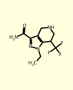 CCn1nc(C(N)=O)c2c1C(C(F)(F)F)CNC2